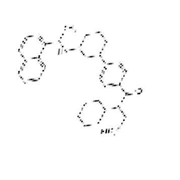 CCOC(=O)CN(C(=O)c1ccc(C2CCCC(NC(C)c3cccc4ccccc34)C2)cc1)C1CCCCC1